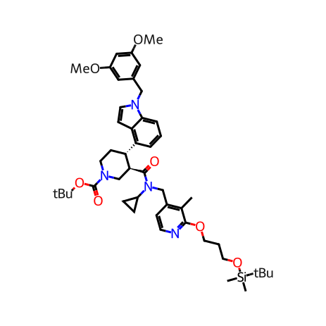 COc1cc(Cn2ccc3c([C@H]4CCN(C(=O)OC(C)(C)C)C[C@@H]4C(=O)N(Cc4ccnc(OCCCO[Si](C)(C)C(C)(C)C)c4C)C4CC4)cccc32)cc(OC)c1